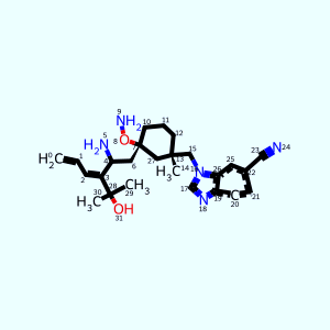 C=C/C=C(\C(N)C[C@@]1(ON)CCC[C@](C)(Cn2cnc3ccc(C#N)cc32)C1)C(C)(C)O